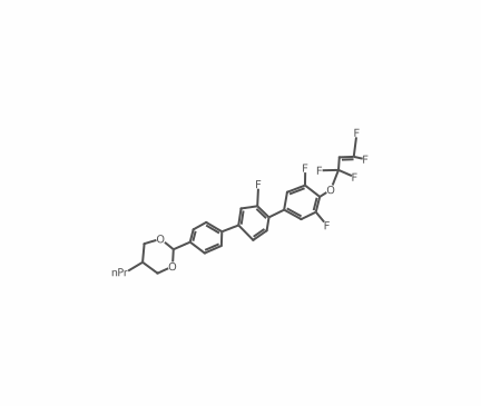 CCCC1COC(c2ccc(-c3ccc(-c4cc(F)c(OC(F)(F)C=C(F)F)c(F)c4)c(F)c3)cc2)OC1